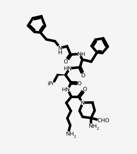 CC(C)C[C@@H](NC(=O)C(Cc1ccccc1)NC(=O)CNCCc1ccccc1)C(=O)NC(CCCCN)C(=O)N1CCC(N)(C=O)CC1